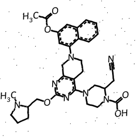 CC(=O)Oc1cc(N2CCc3c(nc(OCC4CCCN4C)nc3N3CCN(C(=O)O)C(CC#N)C3)C2)c2ccccc2c1